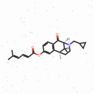 CC(C)=C/C=C/C(=O)Oc1ccc2c(c1)[C@]1(C)CCN(CC3CC3)[C@H](C2=O)[C@@H]1C